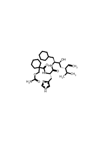 C=C[C@@H](C[C@H](O)[C@H](CC1CCCCC1)NC(=O)[C@H](Cc1c[nH]cn1)NC(=O)C1(COC(N)=O)CCCCC1)C(C)C